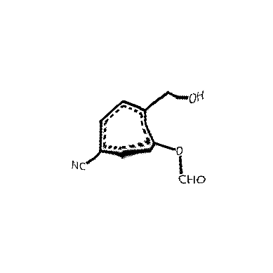 N#Cc1ccc(CO)c(OC=O)c1